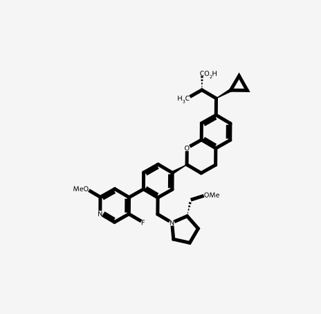 COC[C@@H]1CCCN1Cc1cc([C@@H]2CCc3ccc([C@H](C4CC4)[C@H](C)C(=O)O)cc3O2)ccc1-c1cc(OC)ncc1F